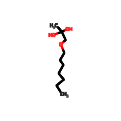 CCCCCCCOCC(C)(O)O